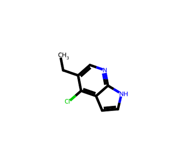 CCc1cnc2[nH]ccc2c1Cl